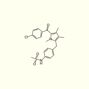 Cc1c(C)c(C(=O)c2ccc(Cl)cc2)n(C)c1Cc1ccc(NS(C)(=O)=O)cc1